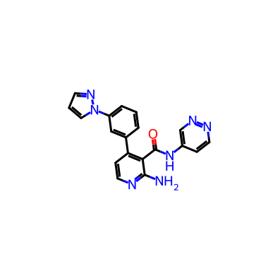 Nc1nccc(-c2cccc(-n3cccn3)c2)c1C(=O)Nc1ccnnc1